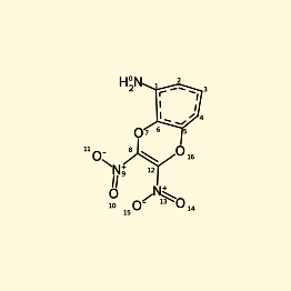 Nc1cccc2c1OC([N+](=O)[O-])=C([N+](=O)[O-])O2